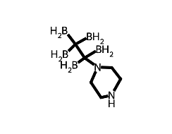 BC(B)(B)C(B)(B)N1CCNCC1